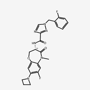 CN1C(=O)[C@@H](NC(=O)c2ncn(Cc3ccccc3F)n2)COc2cc(N3CCC3)c(F)cc21